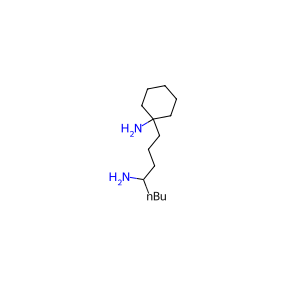 CCCCC(N)CCCC1(N)CCCCC1